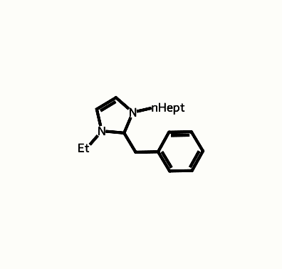 CCCCCCCN1C=CN(CC)C1Cc1ccccc1